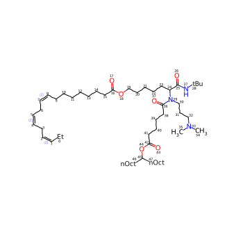 CC/C=C\C/C=C\C/C=C\CCCCCCCC(=O)OCCCCCC(C(=O)NC(C)(C)C)N(CCCN(C)C)C(=O)CCCCC(=O)OC(CCCCCCCC)CCCCCCCC